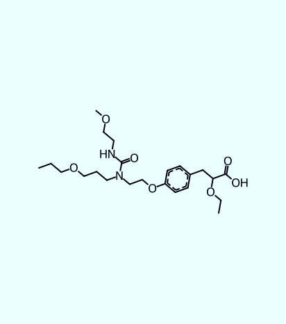 CCCOCCCN(CCOc1ccc(CC(OCC)C(=O)O)cc1)C(=O)NCCOC